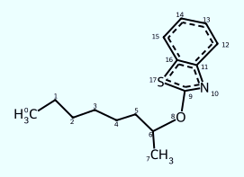 CCCCCCC(C)Oc1nc2ccccc2s1